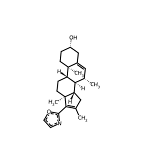 CC1=C(c2ncco2)[C@@]2(C)CC[C@H]3[C@@H]([C@@H](C)C=C4C[C@@H](O)CC[C@@]43C)[C@@H]2C1